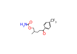 CC(CCC(=O)c1ccc(C(F)(F)F)cc1)COC(N)=O